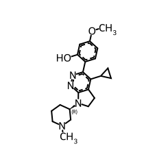 COc1ccc(-c2nnc3c(c2C2CC2)CCN3[C@@H]2CCCN(C)C2)c(O)c1